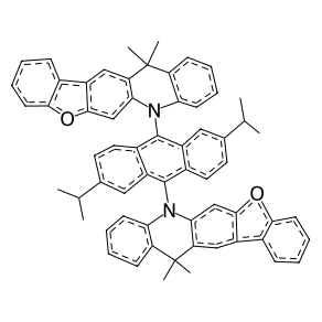 CC(C)c1ccc2c(N3c4ccccc4C(C)(C)c4cc5c(cc43)oc3ccccc35)c3cc(C(C)C)ccc3c(N3c4ccccc4C(C)(C)c4cc5c(cc43)oc3ccccc35)c2c1